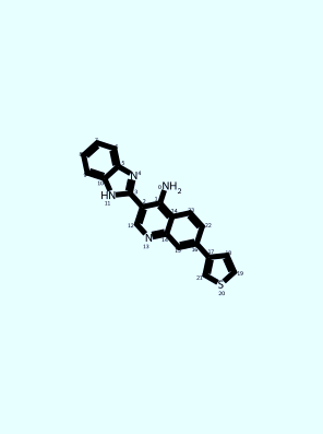 Nc1c(-c2nc3ccccc3[nH]2)cnc2cc(-c3ccsc3)ccc12